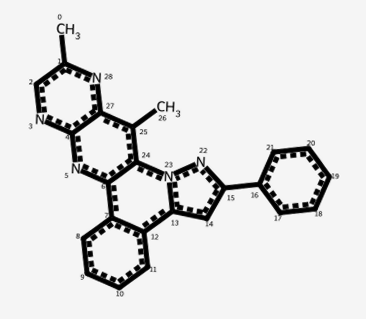 Cc1cnc2nc3c4ccccc4c4cc(-c5ccccc5)nn4c3c(C)c2n1